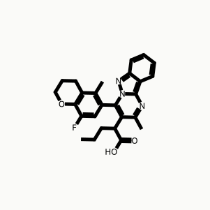 CCCC(C(=O)O)c1c(C)nc2c3ccccc3nn2c1-c1cc(F)c2c(c1C)CCCO2